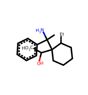 CCC1CCCCC1(C(O)C(=O)O)C(C)(N)c1ccccc1